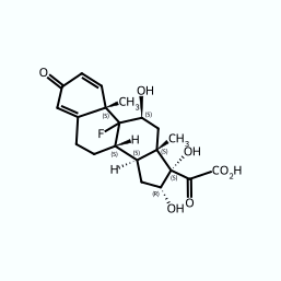 C[C@]12C=CC(=O)C=C1CC[C@H]1[C@@H]3C[C@@H](O)[C@](O)(C(=O)C(=O)O)[C@@]3(C)C[C@H](O)C12F